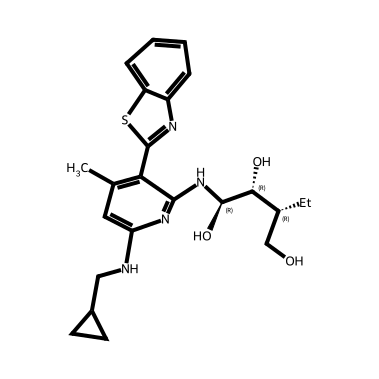 CC[C@H](CO)[C@@H](O)[C@@H](O)Nc1nc(NCC2CC2)cc(C)c1-c1nc2ccccc2s1